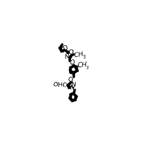 Cc1cc(COc2nn(Cc3ccccc3)cc2C=O)ccc1OCc1nc(-c2ccco2)oc1C